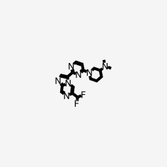 CN(C)C1CCCN(c2ccnc(-c3cnc4cnc(C(F)F)cn34)n2)C1